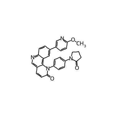 COc1ccc(-c2ccc3ncc4ccc(=O)n(-c5ccc(N6CCCC6=O)cc5)c4c3c2)cn1